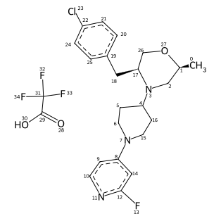 C[C@H]1CN(C2CCN(c3ccnc(F)c3)CC2)[C@@H](Cc2ccc(Cl)cc2)CO1.O=C(O)C(F)(F)F